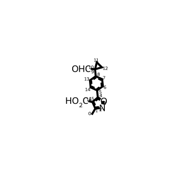 Cc1noc(-c2ccc(C3(C=O)CC3)cc2)c1C(=O)O